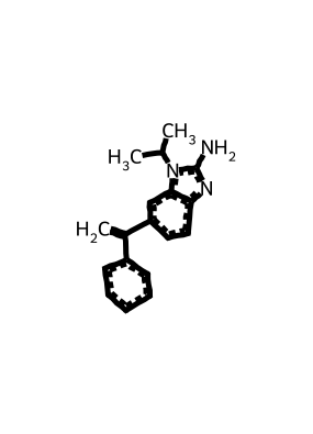 C=C(c1ccccc1)c1ccc2nc(N)n(C(C)C)c2c1